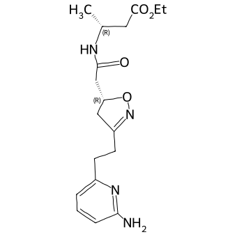 CCOC(=O)C[C@@H](C)NC(=O)C[C@H]1CC(CCc2cccc(N)n2)=NO1